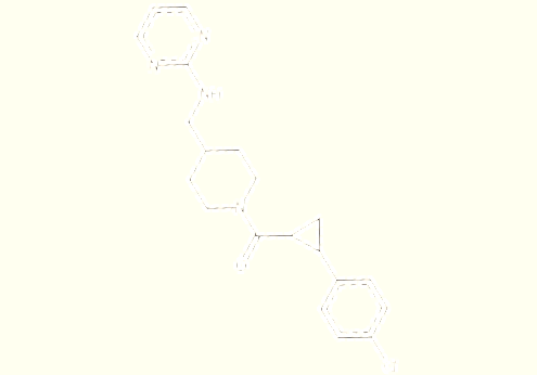 O=C(C1CC1c1ccc(Cl)cc1)N1CCC(CNc2ncccn2)CC1